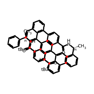 C[C@@H](NC(=O)c1ccc(-c2cccc3cccc(-c4ccc(-c5cccc6cccc(-c7ccc(C(=O)N[C@H](C)c8ccccc8)cc7)c56)c(NC(=O)C(C)(C)C)c4NC(=O)C(C)(C)C)c23)cc1)c1ccccc1